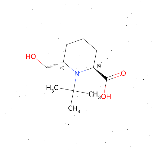 CC(C)(C)N1[C@H](CO)CCC[C@H]1C(=O)O